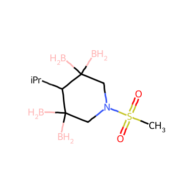 BC1(B)CN(S(C)(=O)=O)CC(B)(B)C1C(C)C